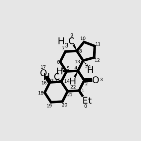 CCC1C(=O)[C@@H]2[C@@H](CC[C@]3(C)CCC[C@@H]23)[C@@]2(C)C(=O)CCCC12